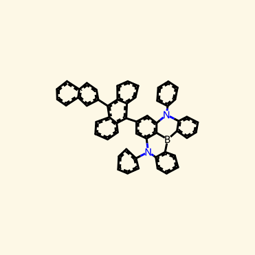 c1ccc(N2c3ccccc3B3c4ccccc4N(c4ccccc4)c4cc(-c5c6ccccc6c(-c6ccc7ccccc7c6)c6ccccc56)cc2c43)cc1